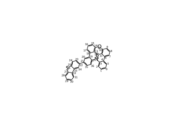 c1ccc2c(c1)-c1cccc3c1B1c4c(cccc4-c4cc(-c5ccc6sc7ccccc7c6c5)ccc4N12)O3